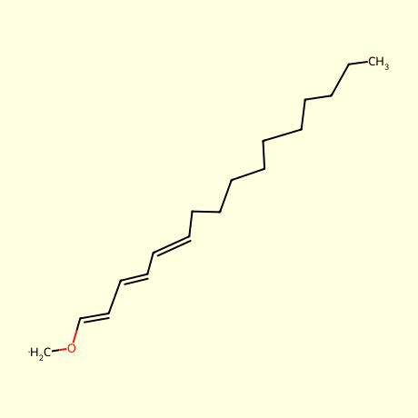 [CH2]O/C=C/C=C/C=C/CCCCCCCCCC